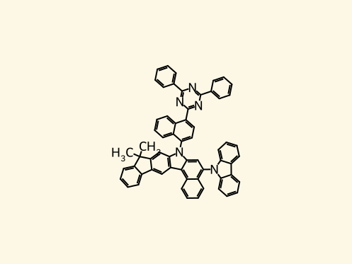 CC1(C)c2ccccc2-c2cc3c4c5ccccc5c(-n5c6ccccc6c6ccccc65)cc4n(-c4ccc(-c5nc(-c6ccccc6)nc(-c6ccccc6)n5)c5ccccc45)c3cc21